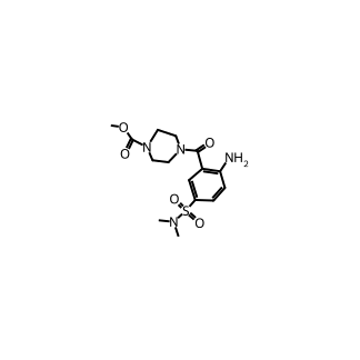 COC(=O)N1CCN(C(=O)c2cc(S(=O)(=O)N(C)C)ccc2N)CC1